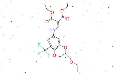 CCOCC1COc2c(cc(NC=C(C(=O)OCC)C(=O)OCC)cc2C(F)(F)F)O1